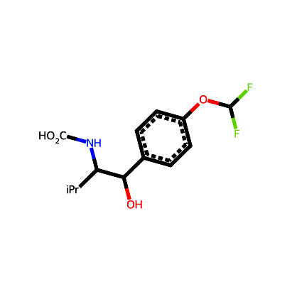 CC(C)C(NC(=O)O)C(O)c1ccc(OC(F)F)cc1